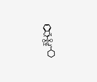 O=S(=O)(NSC1CCCCC1)c1nc2ccccc2s1